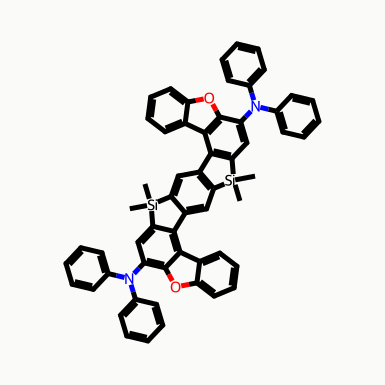 C[Si]1(C)c2cc3c(cc2-c2c1cc(N(c1ccccc1)c1ccccc1)c1oc4ccccc4c21)[Si](C)(C)c1cc(N(c2ccccc2)c2ccccc2)c2oc4ccccc4c2c1-3